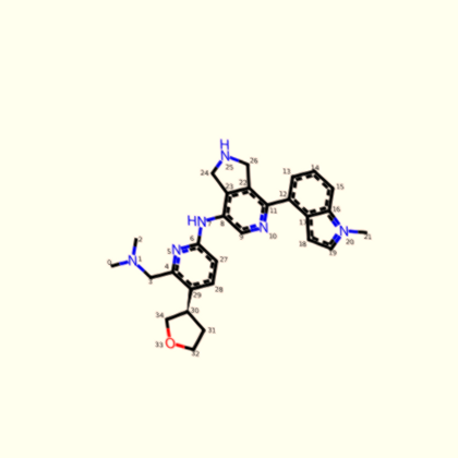 CN(C)Cc1nc(Nc2cnc(-c3cccc4c3ccn4C)c3c2CNC3)ccc1[C@H]1CCOC1